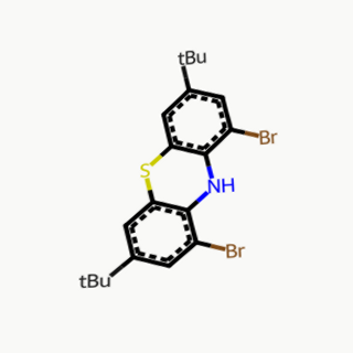 CC(C)(C)c1cc(Br)c2c(c1)Sc1cc(C(C)(C)C)cc(Br)c1N2